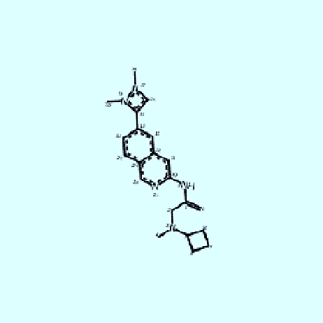 C=C(CN(C)C1CCC1)Nc1cc2cc(-c3cn(C)n3C)ccc2cn1